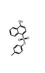 Cc1ccc(OS(=O)(=O)c2ccc(O)c3ccccc23)cc1